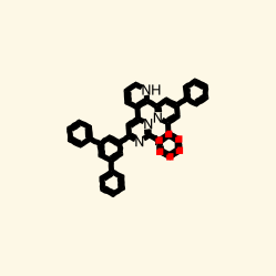 C1=CC(c2cc(-c3cc(-c4ccccc4)cc(-c4ccccc4)c3)nc(-c3ccccc3)n2)=C(c2cc(-c3ccccc3)cc(-c3ccccn3)n2)NC1